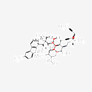 CC#C/C=C\C#C[C@H](OC1OC(C)C(SC)(C(=O)c2nccc3c2[nH]c2ccc(C(F)(F)F)cc23)C(O)C1OC1CC(OC)C(NC(C)C)CO1)C1=C(NC(=O)OC)C(=O)C[C@H](O)/C1=C/CS(C)(=S)=S